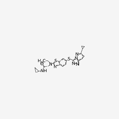 CCN(CC(=O)NC1CC1)c1nc2ccc(Sc3nnc4ccc(C5CC5)nn34)cc2s1